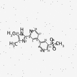 Cc1nc(-c2cc(-c3cncc(S(C)(=O)=O)c3)ccn2)[nH]c1C